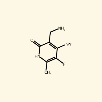 CCCc1c(F)c(C)[nH]c(=O)c1CN